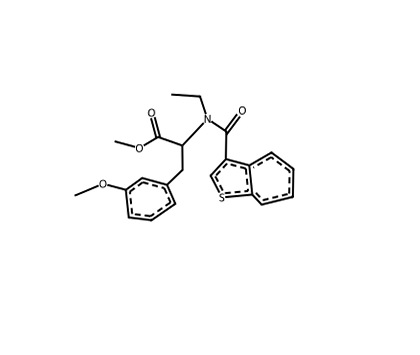 CCN(C(=O)c1csc2ccccc12)C(Cc1cccc(OC)c1)C(=O)OC